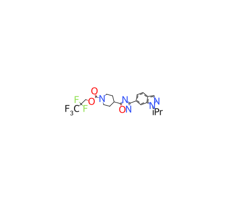 CC(C)n1ncc2ccc(-c3noc(C4CCN(C(=O)OCC(F)(F)C(F)(F)F)CC4)n3)cc21